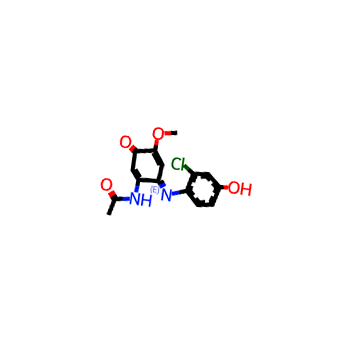 COC1=C/C(=N\c2ccc(O)cc2Cl)C(NC(C)=O)=CC1=O